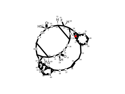 O=[P@@]1(S)OCC2OC3[C@H](F)[C@@H]2O[P@](=O)(S)OCC2OC([C@H](F)[C@@H]2O1)n1cnc2c(ncnc21)CC/C=C/CCc1ncnc2c1ncn23